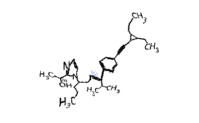 CCCC(C/C=C(/c1ccc(C#CC2C(CC)C2CC)cc1)C(C)C)n1ccnc1[C@H](C)O